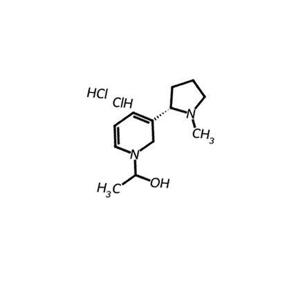 CC(O)N1C=CC=C([C@@H]2CCCN2C)C1.Cl.Cl